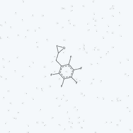 Fc1c(F)c(F)c(CC2CO2)c(F)c1F